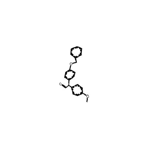 COc1ccc(C(C=O)c2ccc(OCc3ccccc3)cc2)cc1